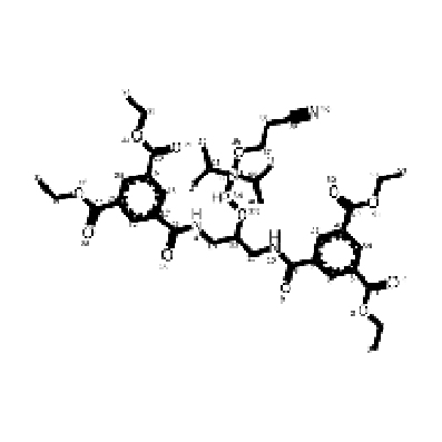 CCOC(=O)c1cc(C(=O)NCC(CNC(=O)c2cc(C(=O)OCC)cc(C(=O)OCC)c2)OP[N+](OCCC#N)(C(C)C)C(C)C)cc(C(=O)OCC)c1